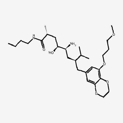 CCCCNC(=O)[C@H](C)C[C@H](O)[C@@H](N)C[C@H](Cc1cc(OCCCOC)c2c(c1)OCCO2)C(C)C